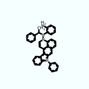 CC(c1ccccc1)N(c1ccccc1N)N1C=Cc2c3c1cccc3cc1c2c2ccccc2n1-c1ccccc1